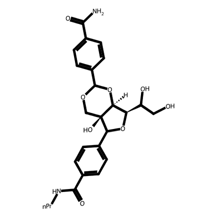 CCCNC(=O)c1ccc(C2O[C@H](C(O)CO)[C@@H]3OC(c4ccc(C(N)=O)cc4)OC[C@@]23O)cc1